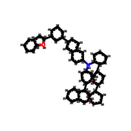 c1ccc(-c2ccc(-c3ccccc3N(c3ccc(-c4cccc5ccccc45)cc3)c3ccc4cc(-c5cccc(-c6cc7ccccc7o6)c5)ccc4c3)cc2)cc1